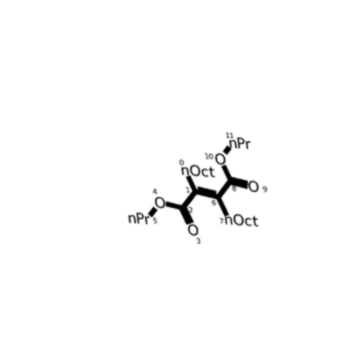 CCCCCCCCC(C(=O)OCCC)=C(CCCCCCCC)C(=O)OCCC